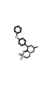 CC1CC(c2ccc(Oc3ccccc3)cc2)C2=NS(=O)(=O)CCN2C1